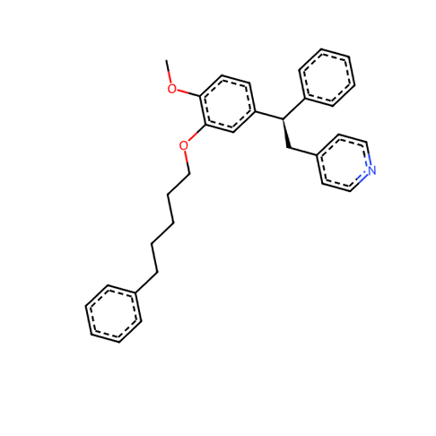 COc1ccc([C@H](Cc2ccncc2)c2ccccc2)cc1OCCCCCc1ccccc1